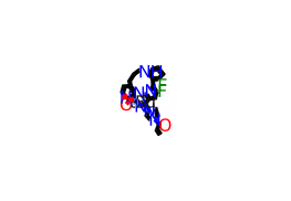 C=CC(=O)N1CCN(C2=N/C(=C3/CO3)N3c4nc(c(F)cc42)-c2c(F)cccc2NCCCc2ccnc(C(C)(C)C)c23)CC1